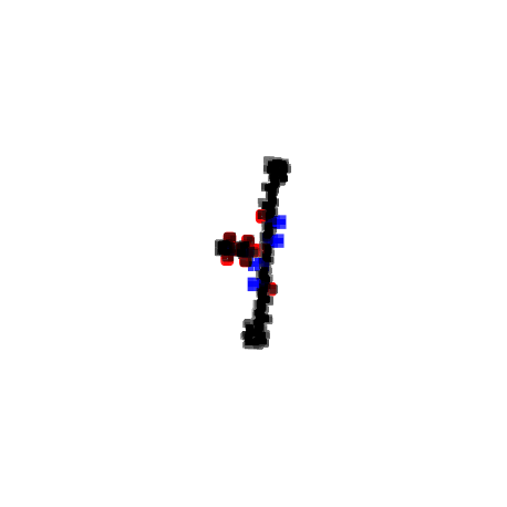 CC1=C(/C=C/C(C)=C/C=C/C(C)=C/C(=O)NCCCNCCCCNCCCNC(=O)/C=C(C)/C=C/C=C(C)/C=C/C2=C(C)CCCC2(C)C)C(C)(C)CCC1.O=C1CCC(=O)N1O.O=C1CCC(=O)N1O